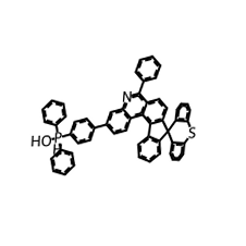 O[PH](c1ccccc1)(c1ccccc1)c1ccc(-c2ccc3c(c2)nc(-c2ccccc2)c2ccc4c(c23)-c2ccccc2C42c3ccccc3Sc3ccccc32)cc1